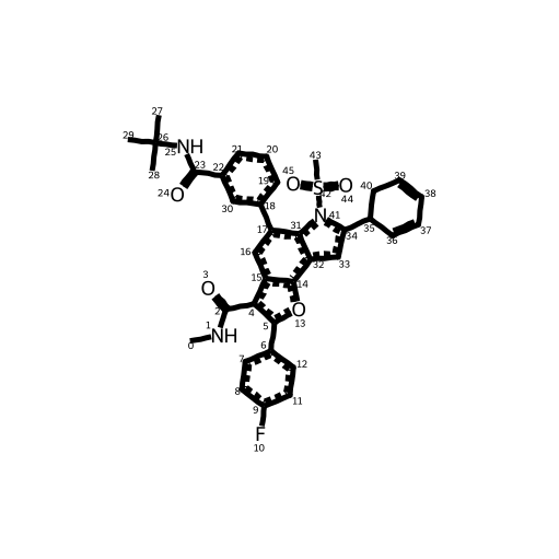 CNC(=O)c1c(-c2ccc(F)cc2)oc2c1cc(-c1cccc(C(=O)NC(C)(C)C)c1)c1c2cc(C2C=CC=CC2)n1S(C)(=O)=O